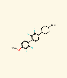 CCCCOc1ccc(-c2ccc(C3CCC(CCCC)CC3)c(F)c2F)c(F)c1F